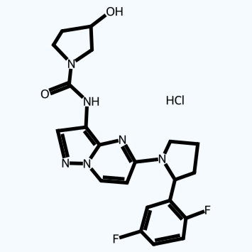 Cl.O=C(Nc1cnn2ccc(N3CCCC3c3cc(F)ccc3F)nc12)N1CCC(O)C1